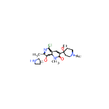 CCOC1(c2cc3c(Cl)nc(C)c(O[C@@H]4CCNC4)c3n(C)c2=O)CCN(C(C)=O)CC1